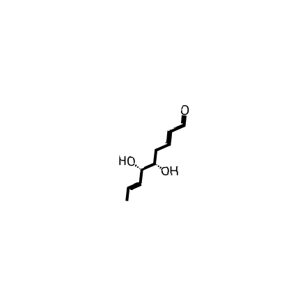 C/C=C/[C@H](O)[C@@H](O)C/C=C/C=O